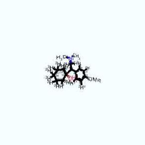 [2H]c1c([2H])c(C(C([2H])([2H])N(C)C)C2(O)C([2H])([2H])C([2H])([2H])C([2H])([2H])C([2H])([2H])C2([2H])[2H])c([2H])c([2H])c1OC